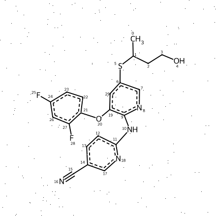 CC(CCO)Sc1cnc(Nc2ccc(C#N)cn2)c(Oc2ccc(F)cc2F)c1